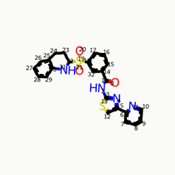 O=C(Nc1nc(-c2ccccn2)cs1)c1cccc(S(=O)(=O)C2CCc3ccccc3N2)c1